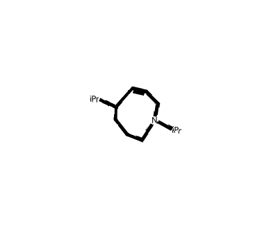 CC(C)C1/C=C\CN(C(C)C)CCC1